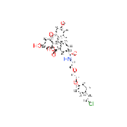 O=C(NCCOCCOC1=CC=C(CCCl)CC1)c1ccc(-c2c3ccc(=O)cc-3oc3cc(O)ccc23)c(C(=O)O)c1